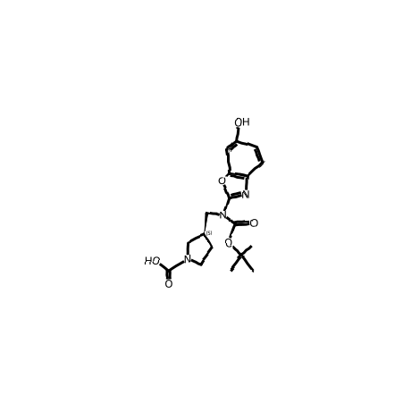 CC(C)(C)OC(=O)N(C[C@H]1CCN(C(=O)O)C1)c1nc2ccc(O)cc2o1